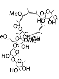 COCCCC1OC(O)(C(C)C2CC(OC)C(O)/C=C(C)/C=C(C)/C=C(\C)C(O[C@@H]3O[C@@H](C)[C@H](O)[C@@H](O)[C@@H]3O)C(C)/C=C(C)/C=C(OC)/C=C(\C)C(=O)O2)C(OC)C(O)C1(C)O[C@H]1C[C@H](O)[C@H](O[C@H]2C[C@@](C)(O)[C@H](O)[C@@H](C)O2)[C@@H](C)O1